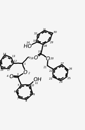 CC(OC(=O)c1ccccc1O)c1ccccc1.O=C(OCc1ccccc1)c1ccccc1O